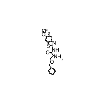 NC(COCc1ccccc1)C(=O)Nc1nc2ccc(OC(F)(F)F)cc2s1